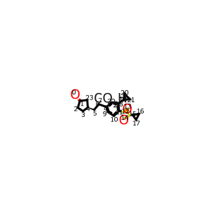 O=C1CC[C@H](C[C@@H](C(=O)O)c2ccc(S(=O)(=O)C3CC3)c(C3CC3)c2)C1